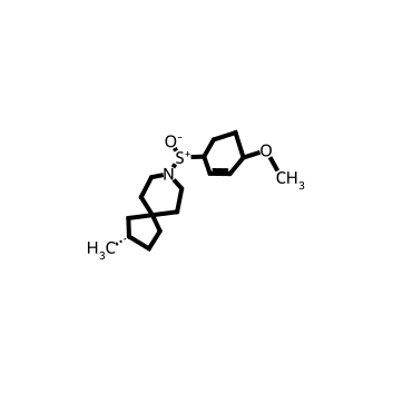 COC1C=CC([S+]([O-])N2CCC3(CC[C@H](C)C3)CC2)CC1